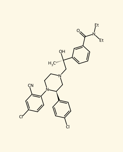 CCN(CC)C(=O)c1cccc([C@](C)(O)CN2CCN(c3ccc(Cl)cc3C#N)[C@H](c3ccc(Cl)cc3)C2)c1